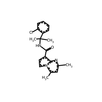 Cc1cc(C)n2ccc(C(=O)NC(C)(C)c3ccccc3Cl)c2n1